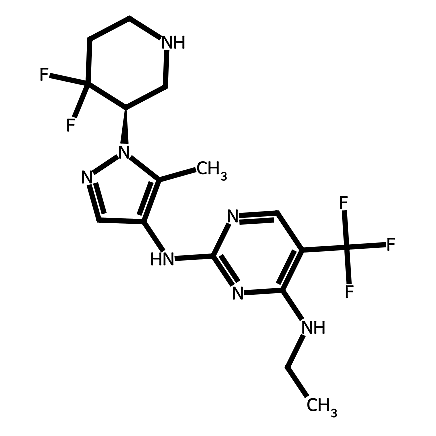 CCNc1nc(Nc2cnn([C@@H]3CNCCC3(F)F)c2C)ncc1C(F)(F)F